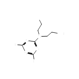 OCCN(CCO)c1nc(F)nc(F)n1